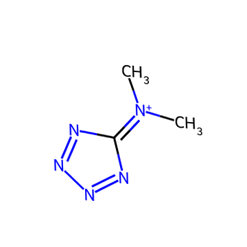 C[N+](C)=C1N=NN=N1